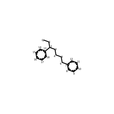 [CH2]CC(CCCCc1ccccc1)c1ccccc1